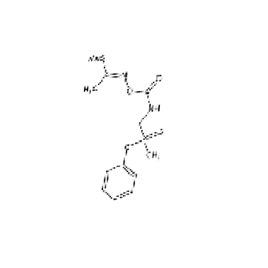 CSC(C)=NOC(=O)NCP(C)(=S)Oc1ccccc1